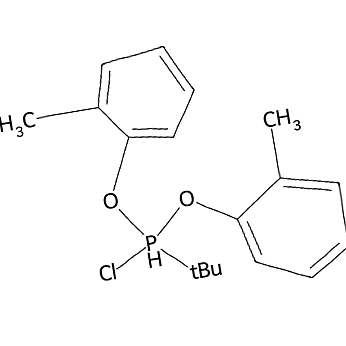 Cc1ccccc1O[PH](Cl)(Oc1ccccc1C)C(C)(C)C